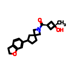 C[C@]1(O)C[C@@H](C(=O)N2CC3(CCC(c4ccc5c(c4)OCC5)C3)C2)C1